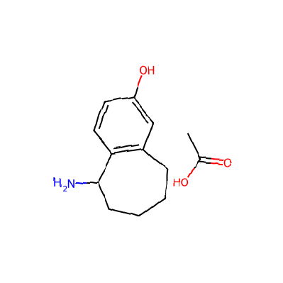 CC(=O)O.NC1CCCCc2cc(O)ccc21